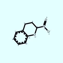 O=[N+]([O-])C1CCc2ccccc2O1